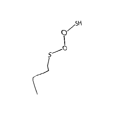 CCCSOOS